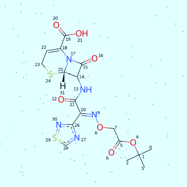 CC(C)(C)OC(=O)CON=C(C(=O)NC1C(=O)N2C(C(=O)O)=CCS[C@@H]12)c1ncsn1